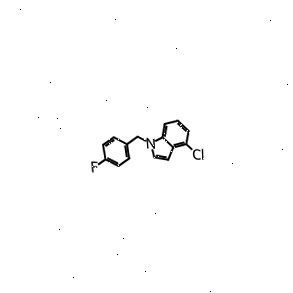 Fc1ccc(Cn2ccc3c(Cl)cccc32)cc1